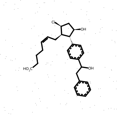 O=C(O)CCC/C=C\C[C@@H]1[C@@H](c2ccc(C(O)Cc3ccccc3)cc2)[C@H](O)C[C@@H]1Cl